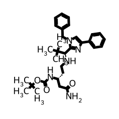 CC(C)(C)OC(=O)N[C@H](CCN[C@@H](c1nc(-c2ccccc2)cn1Cc1ccccc1)C(C)(C)C)CC(N)=O